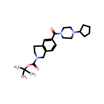 CC(C)(C)OC(=O)N1CCc2cc(C(=O)N3CCN(C4CCCC4)CC3)ccc2C1